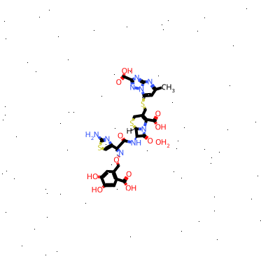 Cc1cc(SCC2=C(C(=O)O)N3C(=O)[C@@H](NC(=O)C(=NOCc4cc(O)c(O)cc4C(=O)O)c4csc(N)n4)[C@H]3SC2)n2nc(C(=O)O)nc2n1.O